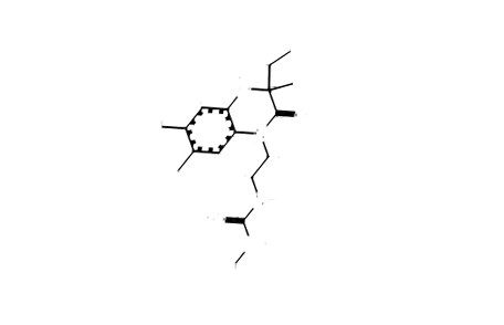 CCC1(C)Oc2cc(C)c(C)cc2N(CCNC(=O)OC)C1=O